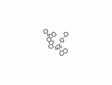 c1ccc(-c2ccc(-c3cc(-c4cccc5c4sc4c5ccc5c4c4ccccc4n5-c4ccccc4)nc(-c4cccc5ccccc45)n3)cc2)cc1